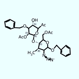 CC(=O)OCC1OC(OCc2ccccc2)C(N=[N+]=[N-])[C@@H](C)[C@@H]1O[C@@H]1OC(C(C)=O)[C@@H](O)C(OCc2ccccc2)[C@@H]1OC(C)=O